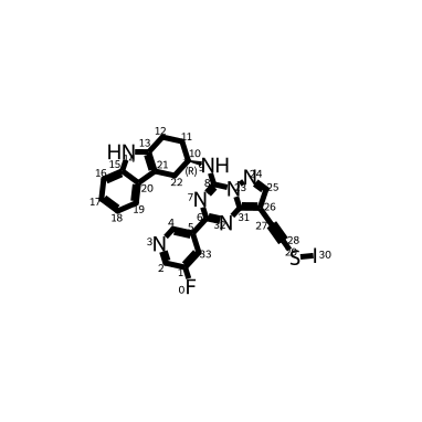 Fc1cncc(-c2nc(N[C@@H]3CCc4[nH]c5ccccc5c4C3)n3ncc(C#CSI)c3n2)c1